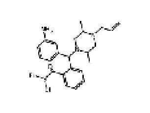 C=CCN1CC(C)N(C(c2cccc(N)c2)c2ccccc2C(=O)N(CC)CC)CC1C